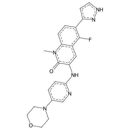 Cn1c(=O)c(Nc2ccc(N3CCOCC3)cn2)cc2c(F)c(-c3cc[nH]n3)ccc21